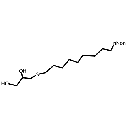 CCCCCCCCCCCCCCCCCCSCC(O)CO